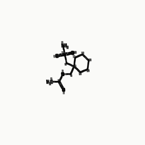 CC(=O)OCC1(CS(N)(=O)=O)CCCCC1